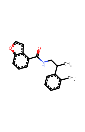 [CH2]c1ccccc1C(C)CNC(=O)c1cccc2occc12